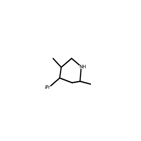 CC1CC(C(C)C)C(C)CN1